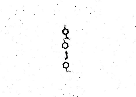 CCCCC[C@H]1CC[C@H](/C=C/C#C[C@H]2CC[C@H](OC(=O)c3ccc(CC)cc3)CC2)CC1